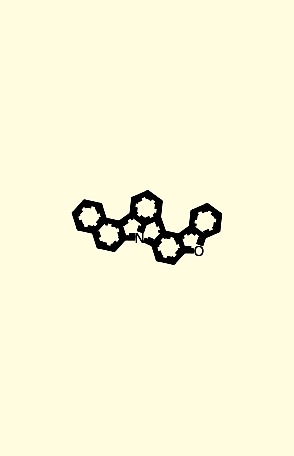 c1ccc2c(c1)ccc1c2c2cccc3c4c5c(ccc4n1c23)oc1ccccc15